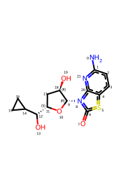 Nc1ccc2sc(=O)n([C@@H]3O[C@H](C(O)C4CC4)C[C@H]3O)c2n1